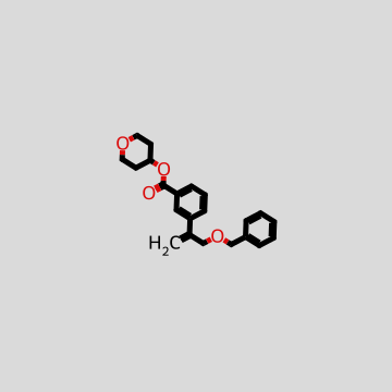 C=C(COCc1ccccc1)c1cccc(C(=O)OC2CCOCC2)c1